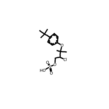 CC(C)(C)c1ccc(OC(C)(C)C(Cl)COS(=O)(=O)O)cc1